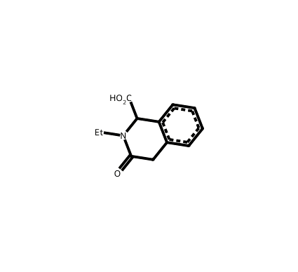 CCN1C(=O)Cc2ccccc2C1C(=O)O